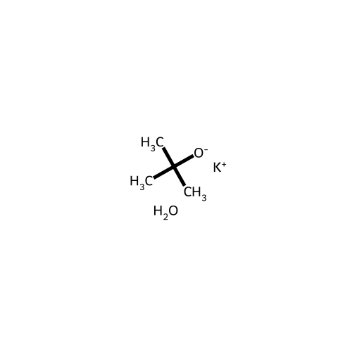 CC(C)(C)[O-].O.[K+]